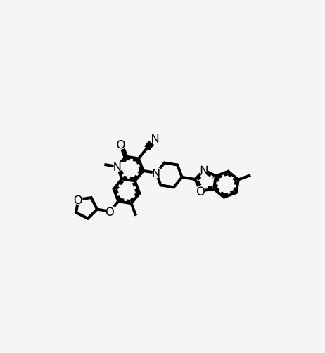 Cc1ccc2oc(C3CCN(c4c(C#N)c(=O)n(C)c5cc(OC6CCOC6)c(C)cc45)CC3)nc2c1